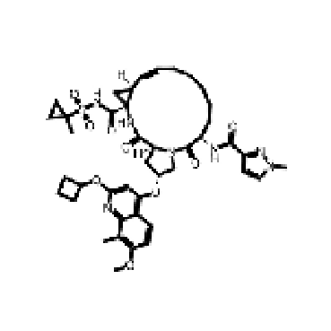 COc1ccc2c(O[C@@H]3C[C@H]4C(=O)N[C@]5(C(=O)NS(=O)(=O)C6(C)CC6)C[C@H]5C=CCCCCC[C@H](NC(=O)c5ccn(C)n5)C(=O)N4C3)cc(OC3CCC3)nc2c1C